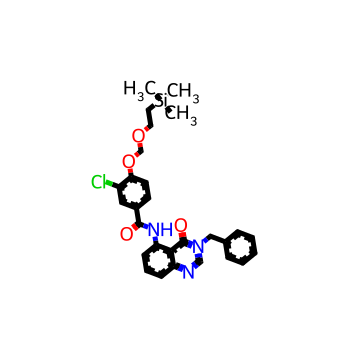 C[Si](C)(C)CCOCOc1ccc(C(=O)Nc2cccc3ncn(Cc4ccccc4)c(=O)c23)cc1Cl